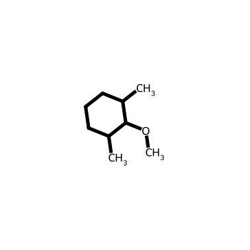 COC1C(C)CCCC1C